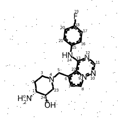 N[C@@H]1CCN(Cc2ccn3ncnc(Nc4ccc(F)cc4)c23)C[C@H]1O